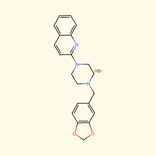 Br.c1ccc2nc(N3CCN(Cc4ccc5c(c4)OCO5)CC3)ccc2c1